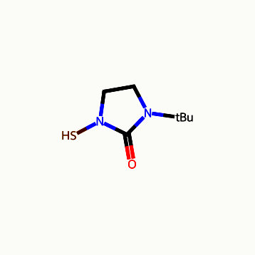 CC(C)(C)N1CCN(S)C1=O